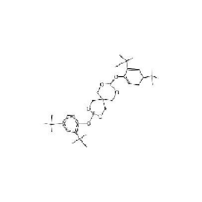 CC(C)(C)C1=CC(C(C)(C)C)CC=C1OP1OCC2(CO1)COP(Oc1ccc(C(C)(C)C)cc1C(C)(C)C)OC2